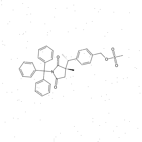 C[C@H](c1ccc(COS(C)(=O)=O)cc1)[C@]1(C)CC(=O)N(C(c2ccccc2)(c2ccccc2)c2ccccc2)C1=O